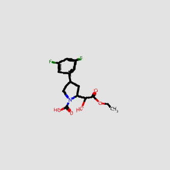 CCOC(=O)C(O)C1CC(c2cc(F)cc(F)c2)CN1C(=O)O